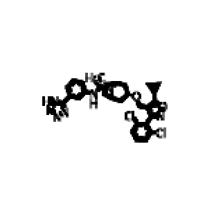 C[C@@H]1CC2C[C@H](OCc3c(-c4c(Cl)cccc4Cl)noc3C3CC3)CC1N2C(=O)Nc1cccc(-c2nnn[nH]2)c1